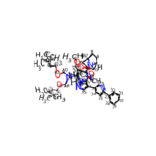 COCc1c([C@H]2C[C@H]3CC[C@@H](C2)N3C(=O)OC(C)(C)C)nc2c(-c3ccc(-c4ccccc4)nc3)cnn2c1N(COCC[Si](C)(C)C)COCC[Si](C)(C)C